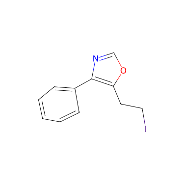 ICCc1ocnc1-c1ccccc1